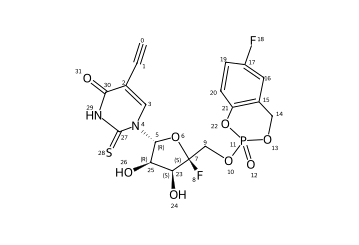 C#Cc1cn([C@@H]2O[C@](F)(COP3(=O)OCc4cc(F)ccc4O3)[C@@H](O)[C@H]2O)c(=S)[nH]c1=O